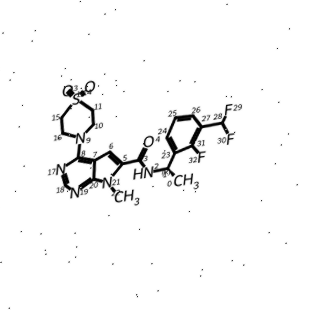 C[C@@H](NC(=O)c1cc2c(N3CCS(=O)(=O)CC3)ncnc2n1C)c1cccc(C(F)F)c1F